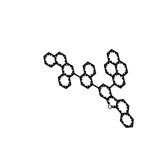 c1ccc2c(c1)ccc1c2oc2cc(-c3ccc(-c4cc5ccc6ccccc6c5c5ccccc45)c4ccccc34)cc(-c3ccc4ccc5cccc6ccc3c4c56)c21